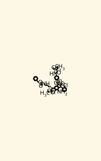 CCN(CC)C(=O)Nc1ccc(S(=O)(=O)N2C(=O)C(c3ccccc3Cl)c3c2cc([C@@H](CCCCNC(=O)OCc2ccccc2)C(=O)OC)c(Cl)c3N)cc1